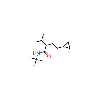 CC(C)C(CCC1CC1)C(=O)NC(C)(C)C